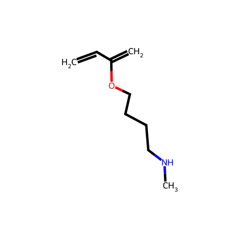 C=CC(=C)OCCCCNC